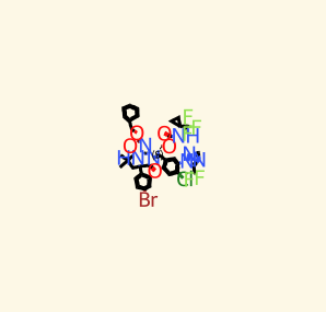 CC(C)(C)CC1(c2ccc(Br)cc2)NC(=NC(=O)OCc2ccccc2)N([C@H](COC(=O)NC2(C(F)(F)F)CC2)c2ccc(Cl)c(-n3ncnc3C(F)F)c2)C1=O